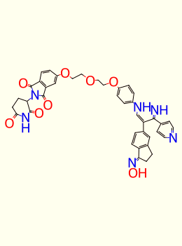 N=C(/C(=C\Nc1ccc(OCCOCCOc2ccc3c(c2)C(=O)N(C2CCC(=O)NC2=O)C3=O)cc1)c1ccc2c(c1)CC/C2=N\O)c1ccncc1